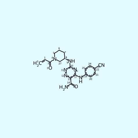 C=CC(=O)N1CCC[C@@H](Nc2nnc(C(N)=O)c(Nc3ccc(C#N)cc3)n2)C1